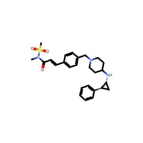 CN(C(=O)C=Cc1ccc(CN2CCC(N[C@@H]3C[C@H]3c3ccccc3)CC2)cc1)S(C)(=O)=O